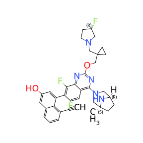 C#Cc1cccc2cc(O)cc(-c3c(F)cc4c(N5C[C@H]6CC[C@@](C)(C5)N6)nc(OCC5(CN6CC[C@@H](F)C6)CC5)nc4c3F)c12